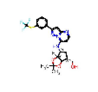 CC1(C)OC2[C@@H](CO)C[C@@H](Nc3ccnc4cc(-c5cccc(SC(F)(F)F)c5)nn34)[C@@H]2O1